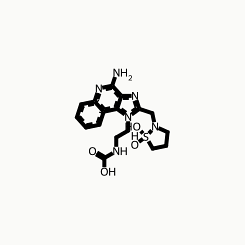 Nc1nc2ccccc2c2c1nc(CN1CCCS1(O)O)n2CCNC(=O)O